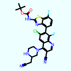 CC(C)(C)OC(=O)Nc1nc2c(-c3c(Cl)cc4c(N5CCNC(CC#N)C5)c(C#N)cnc4c3F)ccc(F)c2s1